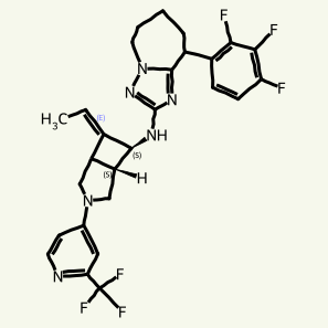 C/C=C1\C2CN(c3ccnc(C(F)(F)F)c3)C[C@H]2[C@@H]1Nc1nc2n(n1)CCCCC2c1ccc(F)c(F)c1F